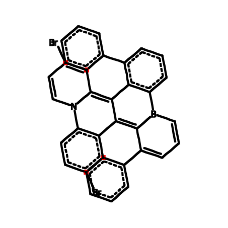 BrC1=CC2=C3C(=C4B(C=CC=C4c4ccccc4)c4cccc(-c5ccccc5)c43)c3cc(Br)ccc3N2C=C1